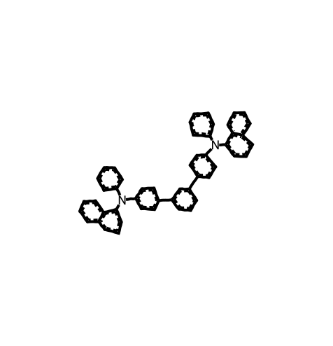 c1ccc(N(c2ccc(-c3cccc(-c4ccc(N(c5ccccc5)c5cccc6ccccc56)cc4)c3)cc2)c2cccc3ccccc23)cc1